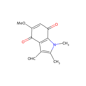 COC1=CC(=O)c2c(c(C=O)c(C)n2C)C1=O